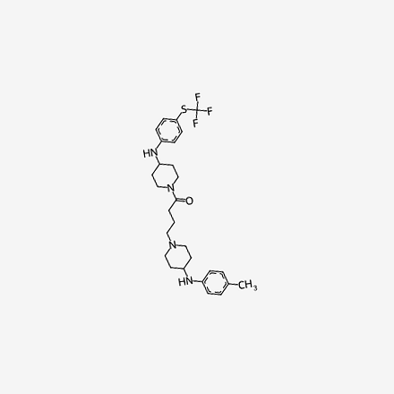 Cc1ccc(NC2CCN(CCCC(=O)N3CCC(Nc4ccc(SC(F)(F)F)cc4)CC3)CC2)cc1